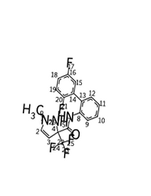 CN1C=CC(C(=O)Nc2ccccc2-c2cc(F)ccc2F)(C(F)(F)F)N1